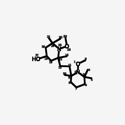 CON1C(C)(C)CCCC1(C)CCC1(C)CC(O)CC(C)(C)N1OC